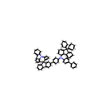 c1ccc(-c2ccc(N(c3ccc(-c4ccc5c(c4)C4(c6ccccc6-5)c5ccccc5-n5c6ccccc6c6cccc4c65)cc3)c3cccc4c3-c3ccccc3C4(c3ccccc3)c3ccccc3)cc2)cc1